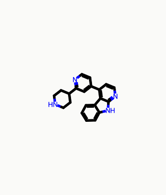 c1ccc2c(c1)[nH]c1nccc(-c3ccnc(C4CCNCC4)c3)c12